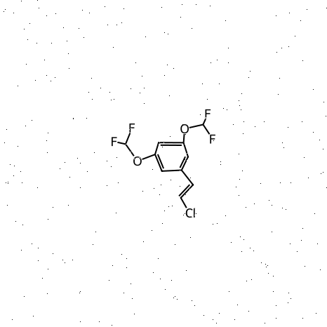 FC(F)Oc1cc(C=CCl)cc(OC(F)F)c1